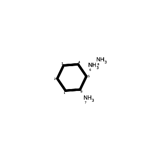 C1CCCCC1.N.N.N